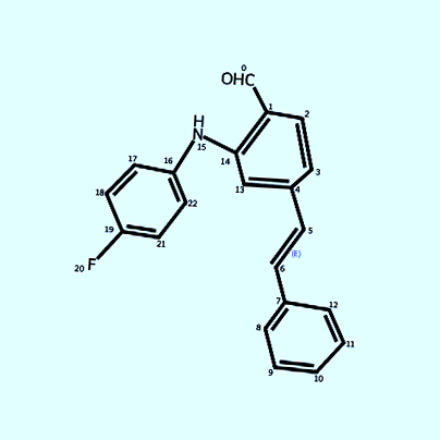 O=Cc1ccc(/C=C/c2ccccc2)cc1Nc1ccc(F)cc1